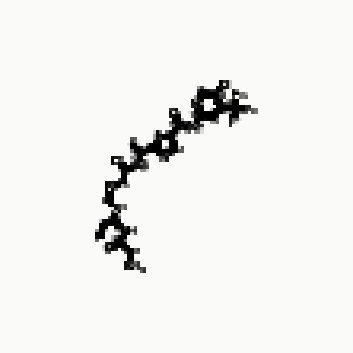 C=C/C(=N\C=N/CC(=O)NC(C)c1ncc(C(=O)Nc2cc(C(F)(F)F)c(Cl)cn2)s1)NC(=O)CN